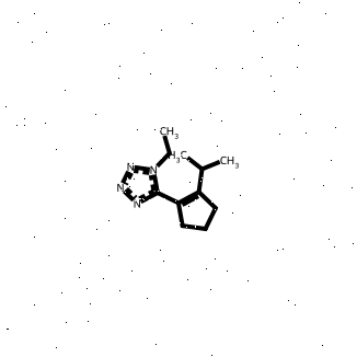 CCn1nnnc1C1=C(C(C)C)CCC1